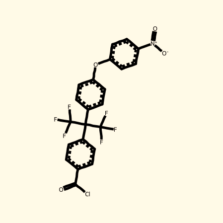 O=C(Cl)c1ccc(C(c2ccc(Oc3ccc([N+](=O)[O-])cc3)cc2)(C(F)(F)F)C(F)(F)F)cc1